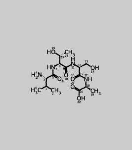 CC(C)[C@H](N)C(=O)N[C@H](C(=O)N[C@@H](CO)C(=O)N[C@@H](C)C(=O)O)[C@@H](C)O